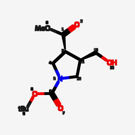 COC(=O)[C@H]1CN(C(=O)OC(C)(C)C)C[C@@H]1CO